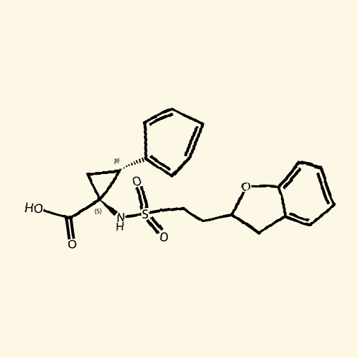 O=C(O)[C@]1(NS(=O)(=O)CCC2Cc3ccccc3O2)C[C@@H]1c1ccccc1